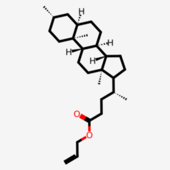 C=CCOC(=O)CC[C@@H](C)C1CC[C@H]2[C@@H]3CC[C@@H]4C[C@@H](C)CC[C@]4(C)[C@H]3CC[C@]12C